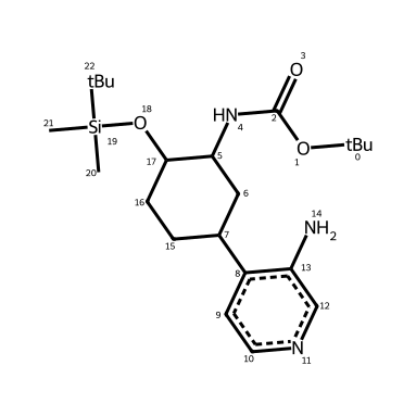 CC(C)(C)OC(=O)NC1CC(c2ccncc2N)CCC1O[Si](C)(C)C(C)(C)C